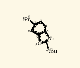 CC(C)c1ccc2nc(C(C)(C)C)oc2c1